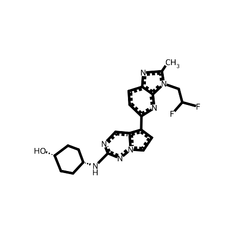 Cc1nc2ccc(-c3ccn4nc(N[C@H]5CC[C@@H](O)CC5)ncc34)nc2n1CC(F)F